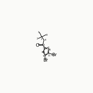 CC(C)(C)CC(=O)c1cc(Br)c(Br)s1